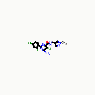 Cn1cc(CNC(=O)c2nc(-c3ccc(Cl)cc3F)nc(N)c2Cl)cn1